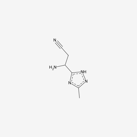 Cc1n[nH]c(C(N)CC#N)n1